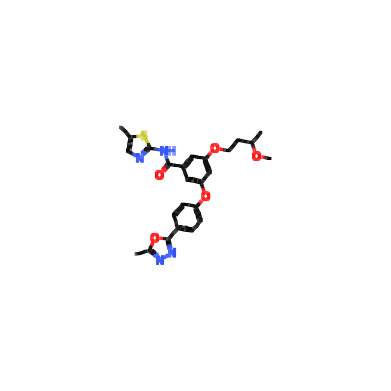 COC(C)CCOc1cc(Oc2ccc(-c3nnc(C)o3)cc2)cc(C(=O)Nc2ncc(C)s2)c1